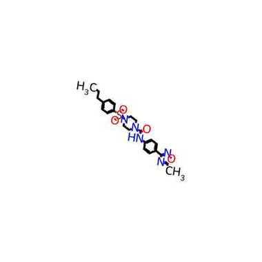 CCCc1ccc(S(=O)(=O)N2CCN(C(=O)Nc3ccc(-c4noc(C)n4)cc3)CC2)cc1